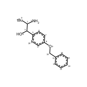 CC(C)(C)C(N)C(O)c1ccc(OCc2ccccc2)cn1